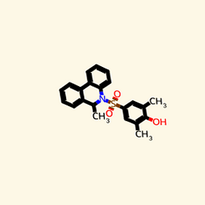 Cc1cc(S(=O)(=O)N2c3ccccc3-c3ccccc3C2C)cc(C)c1O